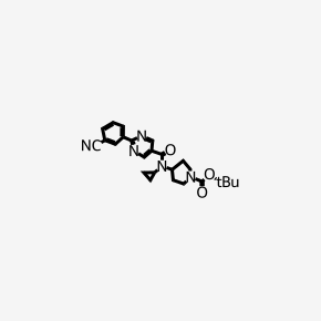 CC(C)(C)OC(=O)N1CCC(N(C(=O)c2cnc(-c3cccc(C#N)c3)nc2)C2CC2)CC1